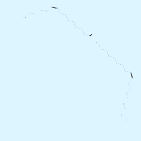 CCCCCC/C=C\CCCCCCCC(=O)OCCCCCCCC/C=C\CCCCCCCC